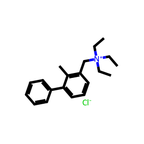 CC[N+](CC)(CC)Cc1cccc(-c2ccccc2)c1C.[Cl-]